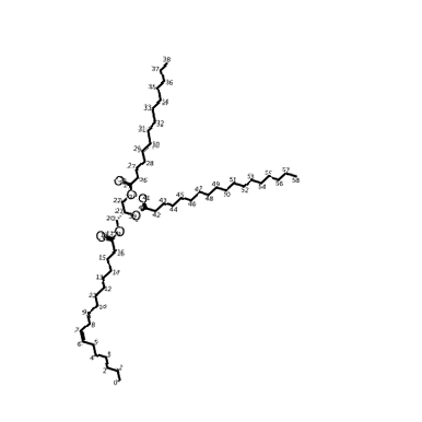 CCCCCC/C=C\CCCCCCCCCC(=O)OC[C@H](COC(=O)CCCCCCCCCCCCC)OC(=O)CCCCCCCCCCCCCCCCC